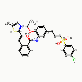 CCc1cnc(C=Cc2ccccc2C(=O)Nc2cc(CCCS(=O)(=O)c3ccc(Cl)cc3)ccc2OCC(=O)O)s1